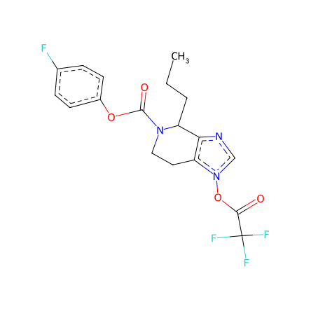 CCCC1c2ncn(OC(=O)C(F)(F)F)c2CCN1C(=O)Oc1ccc(F)cc1